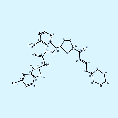 Nc1ncnc2c1c(C(=O)Nc1nc3cc(Cl)ccc3o1)cn2C1CCN(C(=O)C=CCN2CCCCC2)C1